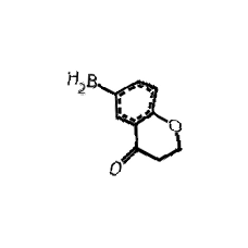 Bc1ccc2c(c1)C(=O)CCO2